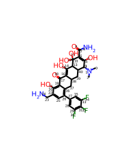 CN(C)[C@@H]1C(O)=C(C(N)=O)C(O)(O)C2C(O)=C3C(=O)c4c(O)c(CN)cc(-c5cc(F)c(F)c(F)c5)c4CC3CC21